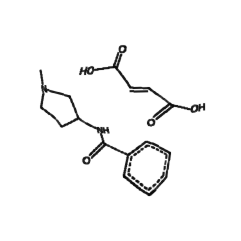 CN1CCC(NC(=O)c2ccccc2)C1.O=C(O)C=CC(=O)O